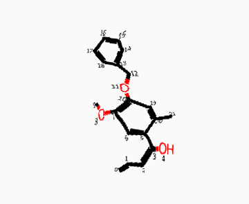 C=C/C=C(/O)c1cc(OC)c(OCc2ccccc2)cc1C